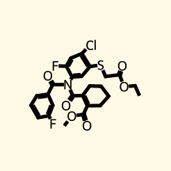 CCOC(=O)CSc1cc(N(C(=O)C2=C(C(=O)OC)CCCC2)C(=O)c2cccc(F)c2)c(F)cc1Cl